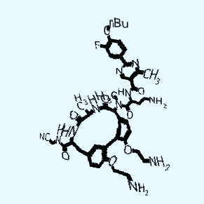 CCCCOc1ccc(-c2ncc(C(=O)NC(CCN)C(=O)N(C)C3C(=O)NC(C)C(=O)NC(C(=O)NCC#N)Cc4ccc(OCCN)c(c4)-c4cc3ccc4OCCN)c(C)n2)cc1F